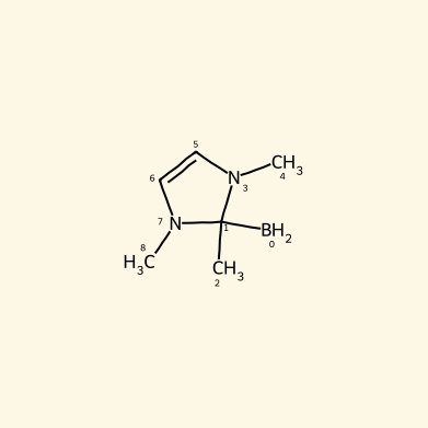 BC1(C)N(C)C=CN1C